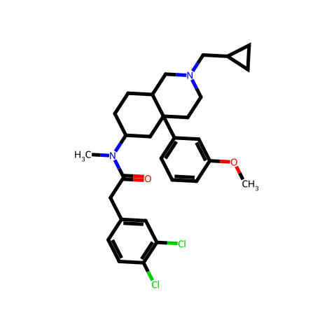 COc1cccc(C23CCN(CC4CC4)CC2CCC(N(C)C(=O)Cc2ccc(Cl)c(Cl)c2)C3)c1